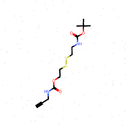 C#CCNC(=O)OCCSSCCNC(=O)OC(C)(C)C